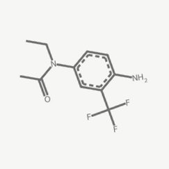 CCN(C(C)=O)c1ccc(N)c(C(F)(F)F)c1